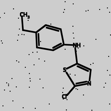 CCc1ccc(Nc2cnc(Cl)s2)cc1